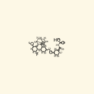 COc1ccc(F)c(-c2ccc(COc3cccc([C@@H](C)CC(=O)O)c3)cc2C23CC4CC(CC(C4)C2)C3)c1